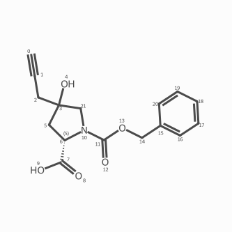 C#CCC1(O)C[C@@H](C(=O)O)N(C(=O)OCc2ccccc2)C1